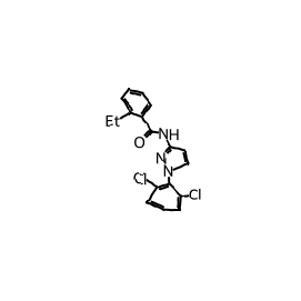 CCc1ccccc1C(=O)Nc1ccn(-c2c(Cl)cccc2Cl)n1